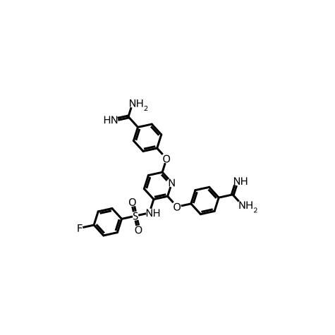 N=C(N)c1ccc(Oc2ccc(NS(=O)(=O)c3ccc(F)cc3)c(Oc3ccc(C(=N)N)cc3)n2)cc1